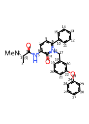 CN[C@@H](C)C(=O)Nc1ccc(-c2ccccc2)n(Cc2cccc(Oc3ccccc3)c2)c1=O